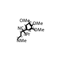 CNCCC[C@@](C#N)(c1cc(OC)c(OC)c(OC)c1)C(C)C